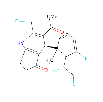 COC(=O)C1=C(CF)NC2=C(C(=O)CC2)[C@@H]1C1(C)C=CC=C(F)C1[C@@H](F)CF